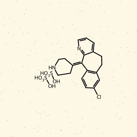 Clc1ccc2c(c1)CCc1cccnc1C2=C1CCNCC1.O=S(=O)(O)O.O=S(=O)(O)O